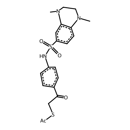 CC(=O)SCC(=O)c1ccc(NS(=O)(=O)c2ccc3c(c2)N(C)CCN3C)cc1